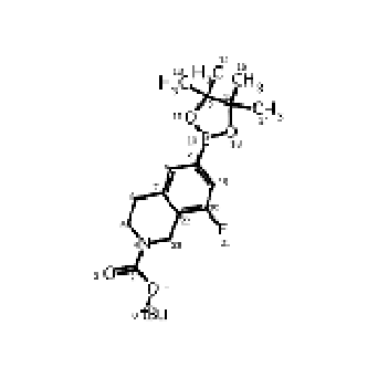 CC(C)(C)OC(=O)N1CCc2cc(B3OC(C)(C)C(C)(C)O3)cc(F)c2C1